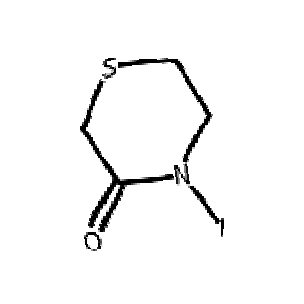 O=C1CSCCN1I